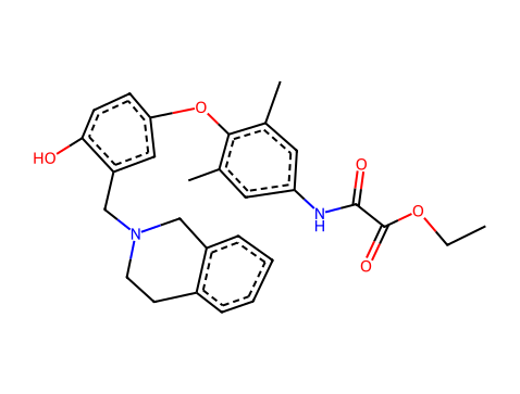 CCOC(=O)C(=O)Nc1cc(C)c(Oc2ccc(O)c(CN3CCc4ccccc4C3)c2)c(C)c1